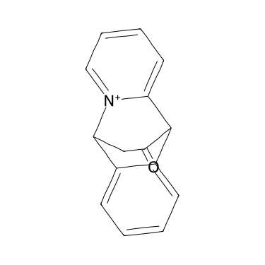 O=C1CC2c3ccccc3C1c1cccc[n+]12